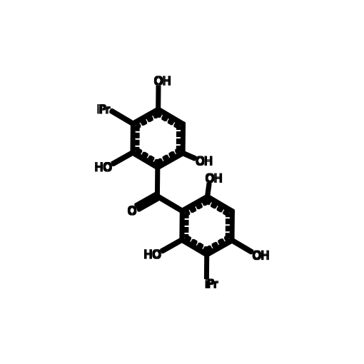 CC(C)c1c(O)cc(O)c(C(=O)c2c(O)cc(O)c(C(C)C)c2O)c1O